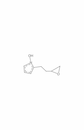 On1cccc1CCC1CO1